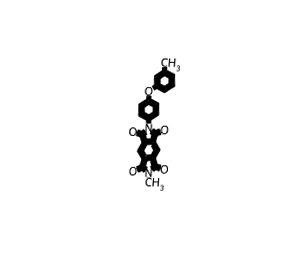 Cc1cccc(Oc2ccc(-n3c(=O)c4cc5c(=O)n(C)c(=O)c5cc4c3=O)cc2)c1